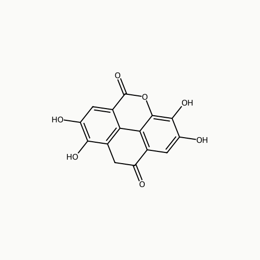 O=C1Cc2c(O)c(O)cc3c(=O)oc4c(O)c(O)cc1c4c23